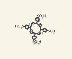 O=S(=O)(O)c1ccc(-c2c3nc(c(-c4ccc(S(=O)(=O)O)cc4)c4ccc([nH]4)c(-c4ccc(S(=O)(=O)O)cc4)c4nc(c(-c5ccc(S(=O)(=O)O)cc5)c5ccc2[nH]5)C=C4)C=C3)cc1.[Mn+2]